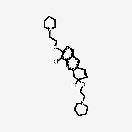 Clc1c(OCCN2CCCCC2)ccc2cc3c(nc12)CC(Cl)(OCCN1CCCCC1)C=C3